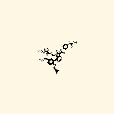 CCc1ccc(OCC2CC2)c(-c2ncnc3c(C(=O)N[C@H]4CC[C@H](NC(=O)O)CC4)c(C)n(COCC[Si](C)(C)C)c23)c1